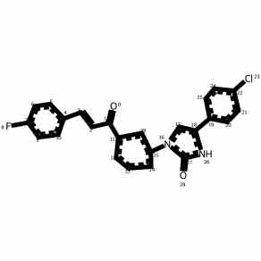 O=C(C=Cc1ccc(F)cc1)c1cccc(-n2cc(-c3ccc(Cl)cc3)[nH]c2=O)c1